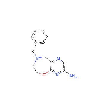 Nc1cnc2c(n1)OCCN(Cc1ccccc1)C2